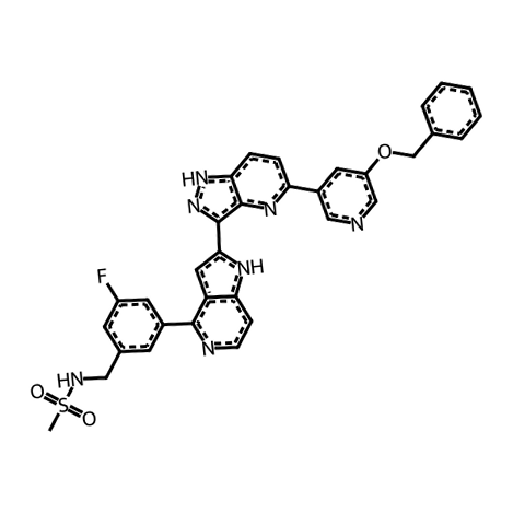 CS(=O)(=O)NCc1cc(F)cc(-c2nccc3[nH]c(-c4n[nH]c5ccc(-c6cncc(OCc7ccccc7)c6)nc45)cc23)c1